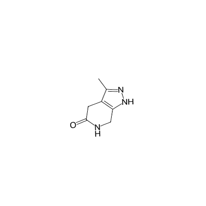 Cc1n[nH]c2c1CC(=O)NC2